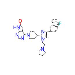 O=C1Cc2c(ncnc2N2CCC(c3nc(-c4ccc(F)c(C(F)(F)F)c4)cn3CCN3CCCC3)CC2)N1